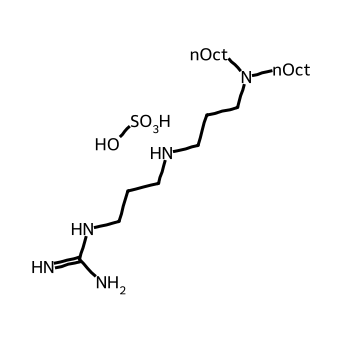 CCCCCCCCN(CCCCCCCC)CCCNCCCNC(=N)N.O=S(=O)(O)O